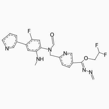 C=N/N=C(\OCC(F)F)c1ccc(CN(C=O)c2cc(F)c(-c3cccnc3)cc2NC)nc1